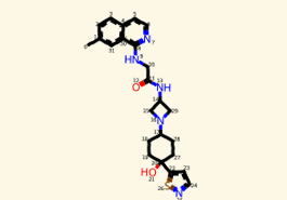 Cc1ccc2ccnc(NCC(=O)NC3CN(C4CCC(O)(c5ccns5)CC4)C3)c2c1